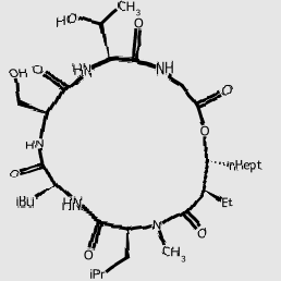 CCCCCCC[C@H]1OC(=O)CNC(=O)[C@H](C(C)O)NC(=O)[C@H](CO)NC(=O)[C@H](C(C)CC)NC(=O)[C@H](CC(C)C)N(C)C(=O)[C@@H]1CC